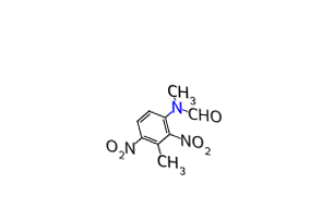 Cc1c([N+](=O)[O-])ccc(N(C)C=O)c1[N+](=O)[O-]